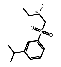 CC[C@H](C)CS(=O)(=O)c1cccc(C(C)C)c1